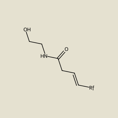 O=C(CC=[CH][Rf])NCCO